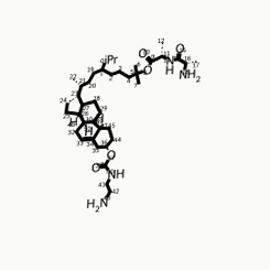 CC(C)C(CCCC(C)(C)OC(=O)[C@H](C)NC(=O)[C@H](C)N)CC[C@@H](C)[C@H]1CC[C@@H]2C1CC[C@H]1[C@H]2CC=C2C[C@@H](OC(=O)NCCN)CC[C@@]21C